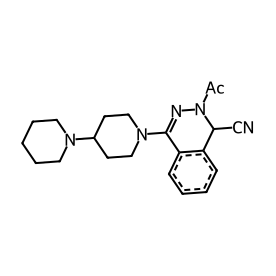 CC(=O)N1N=C(N2CCC(N3CCCCC3)CC2)c2ccccc2C1C#N